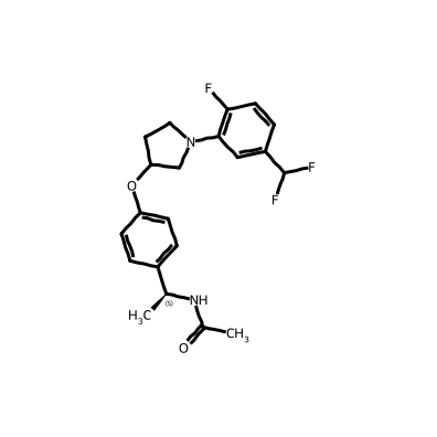 CC(=O)N[C@@H](C)c1ccc(OC2CCN(c3cc(C(F)F)ccc3F)C2)cc1